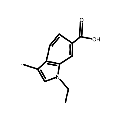 [CH2]c1cn(CC)c2cc(C(=O)O)ccc12